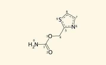 NC(=O)OCc1nccs1